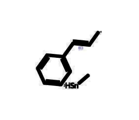 [CH2]/C=C/c1ccccc1.[CH3][SnH]